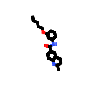 C=CCCCOc1cccc(NC(=O)c2ccc3nc(C)ccc3c2)c1